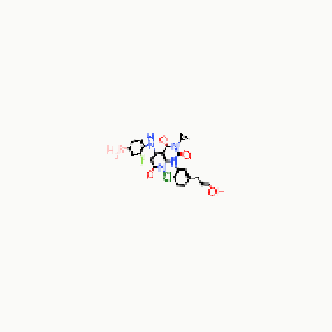 Bc1ccc(Nc2cc(=O)n(Cl)c3c2c(=O)n(C2CC2)c(=O)n3-c2cccc(CCCO)c2)c(F)c1